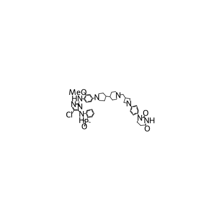 COc1cc(N2CCC(C3CCN(CC4CN(c5ccc(N6CCC(=O)NC6=O)cc5)C4)CC3)CC2)ccc1Nc1ncc(Cl)c(Nc2ccccc2P(C)(C)=O)n1